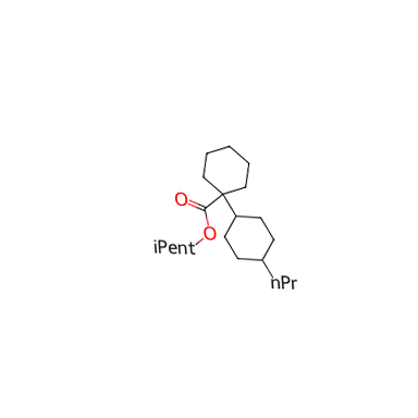 CCCC1CCC(C2(C(=O)OC(C)CCC)CCCCC2)CC1